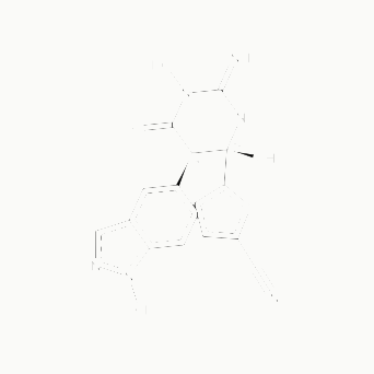 CN1C(=N)N[C@](C)(c2ccc(C#N)s2)[C@@H](c2ccc3c(cnn3C)c2)C1=O